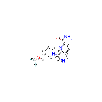 NC(=O)c1ccc2cncc(N3CCCC(COC(F)F)C3)c2n1